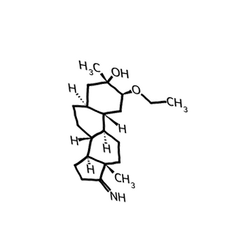 CCO[C@H]1C[C@H]2[C@@H](CC[C@@H]3[C@@H]2CC[C@]2(C)C(=N)CC[C@@H]32)C[C@]1(C)O